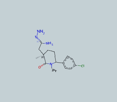 CC(C)N1C(=O)[C@@](C)(C/C(N)=N/N)CCC1c1ccc(Cl)cc1